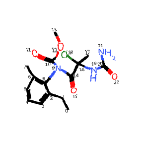 CCc1cccc(C)c1N(C(=O)OC)C(=O)C(C)(Cl)NC(N)=O